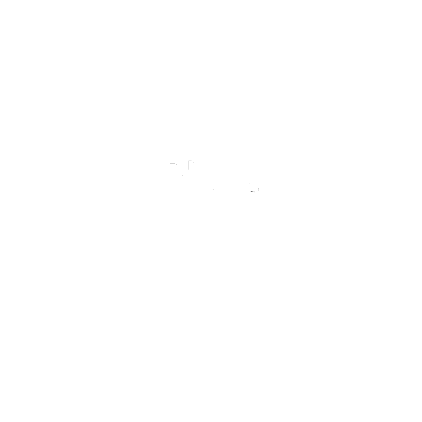 BS(=S)CC